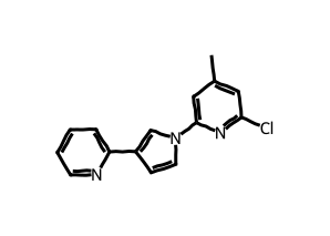 Cc1cc(Cl)nc(-n2ccc(-c3ccccn3)c2)c1